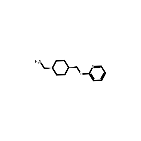 NC[C@H]1CC[C@@H](COc2ccccn2)CC1